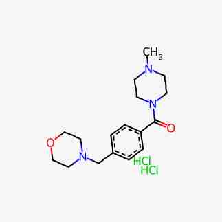 CN1CCN(C(=O)c2ccc(CN3CCOCC3)cc2)CC1.Cl.Cl